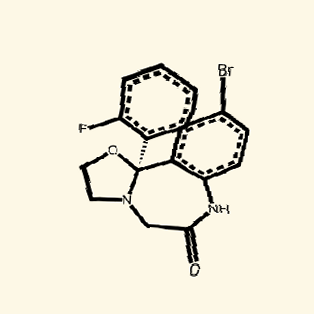 O=C1CN2CCO[C@@]2(c2ccccc2F)c2cc(Br)ccc2N1